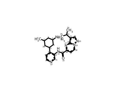 CC1CC(N)CC(c2ccncc2NC(=O)c2ccn3ncc(C(C)C)c3n2)C1